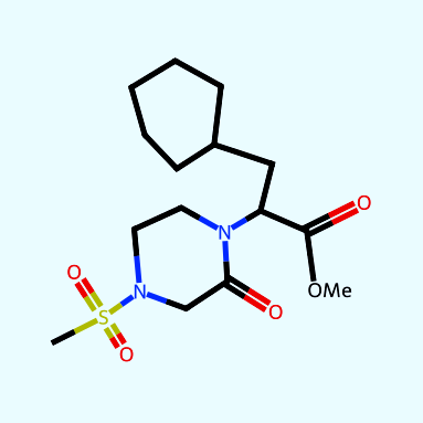 COC(=O)C(CC1CCCCC1)N1CCN(S(C)(=O)=O)CC1=O